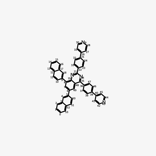 c1ccc2cc(-c3cc(-c4ccc5ccccc5c4)c4nc(-c5ccc(-c6ccncc6)cc5)nc(-c5ccc(-c6ccncc6)cc5)c4c3)ccc2c1